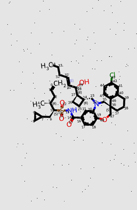 C=CC[C@@H](C)[C@H](CC1CC1)S(=O)(=O)NC(=O)c1ccc2c(c1)N(C[C@@H]1CC[C@H]1[C@@H](O)/C=C/CCC)C[C@@]1(CCCc3cc(Cl)ccc31)CO2